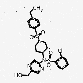 CCc1ccc(S(=O)(=O)N2CCC(N(c3cnc(CO)cn3)S(=O)(=O)c3ccccc3Cl)CC2)cc1